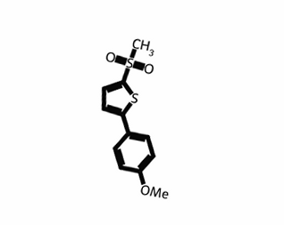 COc1ccc(-c2ccc(S(C)(=O)=O)s2)cc1